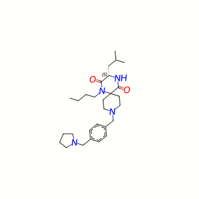 CCCCN1C(=O)[C@H](CC(C)C)NC(=O)C12CCN(Cc1ccc(CN3CCCC3)cc1)CC2